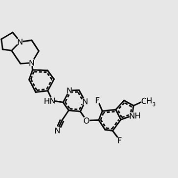 Cc1cc2c(F)c(Oc3ncnc(Nc4ccc(N5CCN6CCCC6C5)cc4)c3C#N)cc(F)c2[nH]1